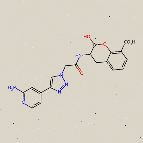 Nc1cc(-c2cn(CC(=O)NC3Cc4cccc(C(=O)O)c4OB3O)nn2)ccn1